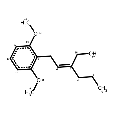 CCCC(=CCc1c(OC)cccc1OC)CO